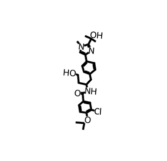 CC(C)Oc1ccc(C(=O)NC(CCO)Cc2ccc(-c3cn(C)c(C(C)(C)O)n3)cc2)cc1Cl